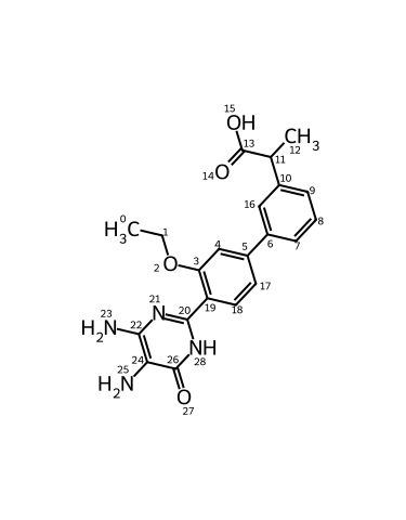 CCOc1cc(-c2cccc(C(C)C(=O)O)c2)ccc1-c1nc(N)c(N)c(=O)[nH]1